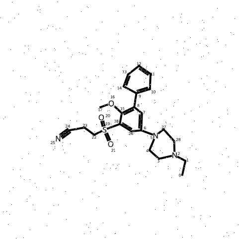 CCN1CCN(c2cc(-c3ccccc3)c(OC)c(S(=O)(=O)CCC#N)c2)CC1